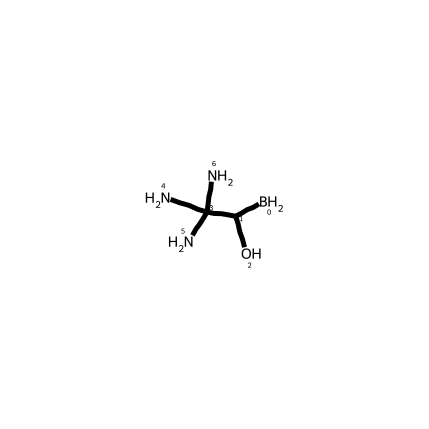 BC(O)C(N)(N)N